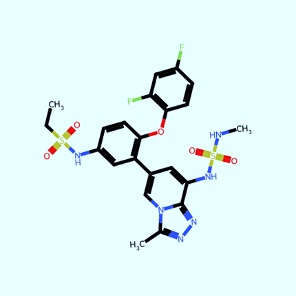 CCS(=O)(=O)Nc1ccc(Oc2ccc(F)cc2F)c(-c2cc(NS(=O)(=O)NC)c3nnc(C)n3c2)c1